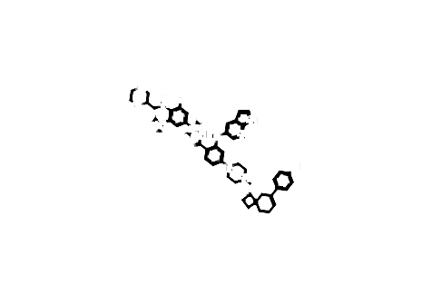 O=C(NS(=O)(=O)c1cc(F)c(NCC2COCCO2)c([N+](=O)[O-])c1)c1ccc(N2CCN(C[C@H]3CCC34CCC=C(c3ccc(Cl)cc3)C4)CC2)cc1Oc1cnc2[nH]ccc2c1